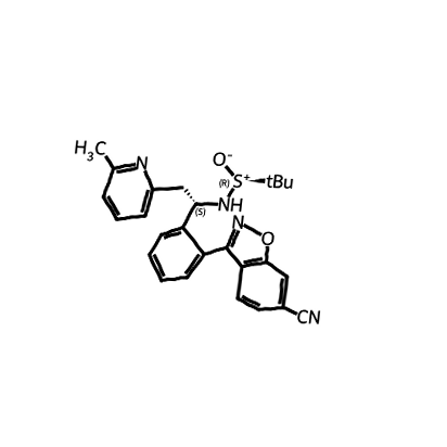 Cc1cccc(C[C@H](N[S@@+]([O-])C(C)(C)C)c2ccccc2-c2noc3cc(C#N)ccc23)n1